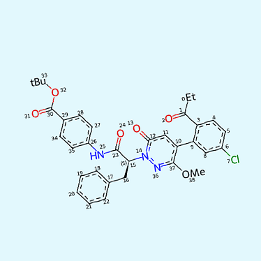 CCC(=O)c1ccc(Cl)cc1-c1cc(=O)n([C@@H](Cc2ccccc2)C(=O)Nc2ccc(C(=O)OC(C)(C)C)cc2)nc1OC